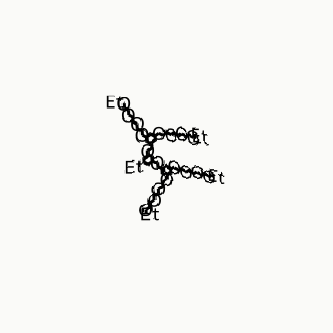 CCOCCOCCOCCOc1cc(COc2cc(CC)cc(OCc3cc(OCCOCCOCCOCC)cc(OCCOCCOCCOCC)c3)c2)cc(OCCOCCOCCOCC)c1